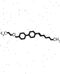 CCCCCC=CC1CCC(C2CCC(COCCC)CC2)CC1